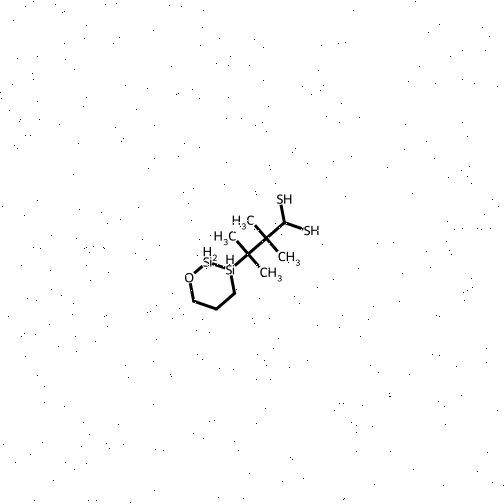 CC(C)(C(S)S)C(C)(C)[SiH]1CCCO[SiH2]1